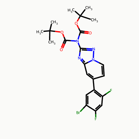 CC(C)(C)OC(=O)N(C(=O)OC(C)(C)C)c1nc2cc(-c3cc(Br)c(F)cc3F)ccn2n1